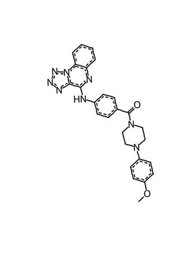 COc1ccc(N2CCN(C(=O)c3ccc(Nc4nc5ccccc5n5nnnc45)cc3)CC2)cc1